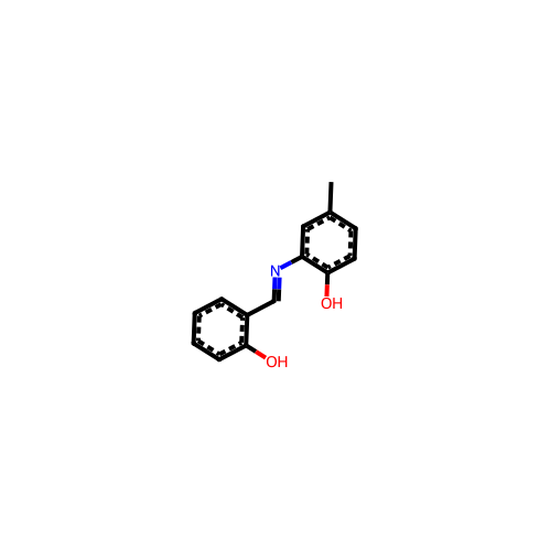 Cc1ccc(O)c(/N=C/c2ccccc2O)c1